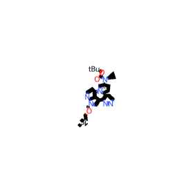 CC(C)(C)OC(=O)N(C1CC1)[C@H]1CCCN(c2ccnc3c2c(-c2cccnn2)cn3COCC[Si](C)(C)C)C1